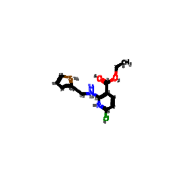 CCOC(=O)c1ccc(Cl)nc1NCc1cccs1